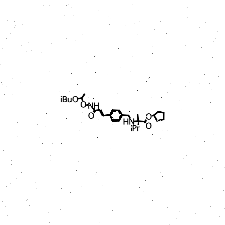 CC(C)COC(C)ONC(=O)/C=C/c1ccc(CN[C@](C)(C(=O)OC2CCCC2)C(C)C)cc1